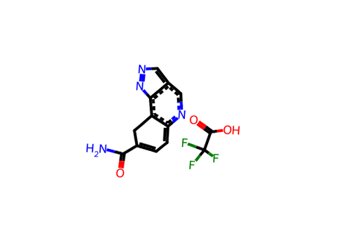 NC(=O)C1=CC=c2ncc3c(c2C1)N=NC=3.O=C(O)C(F)(F)F